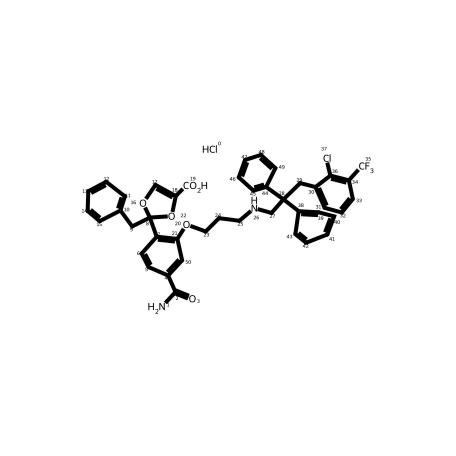 Cl.NC(=O)c1ccc(C2(Cc3ccccc3)OC=C(C(=O)O)O2)c(OCCCNCC(Cc2cccc(C(F)(F)F)c2Cl)(c2ccccc2)c2ccccc2)c1